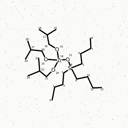 CCCC[Si](CCCC)(CCCC)[O][Zr]([O]CC(C)C)([O]CC(C)C)[O]CC(C)C